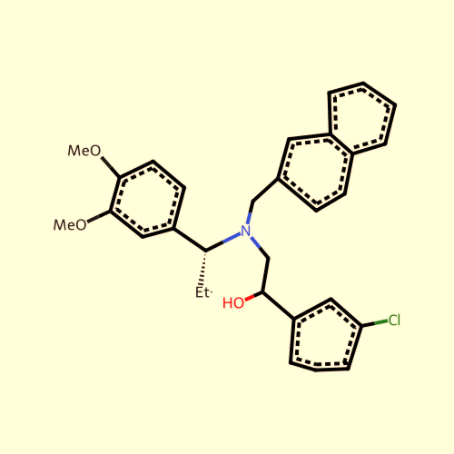 C[CH][C@H](c1ccc(OC)c(OC)c1)N(Cc1ccc2ccccc2c1)CC(O)c1cccc(Cl)c1